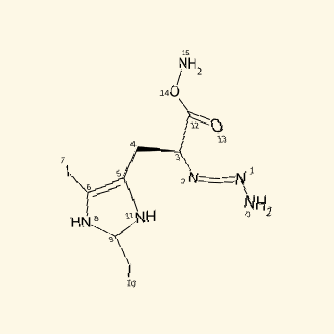 NN=N[C@@H](CC1=C(I)NC(I)N1)C(=O)ON